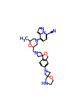 CC1CN(c2ccc(C#N)n3nccc23)CC(CN2CC3(C2)OCc2cc(N4CC5(CNCCO5)C4)ccc23)O1